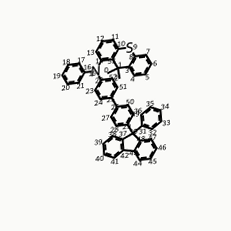 CC1(C)c2ccccc2Sc2cccc(N(c3ccccc3)c3ccc(-c4ccc(C5(c6ccccc6)c6ccccc6-c6ccccc65)cc4)cc3)c21